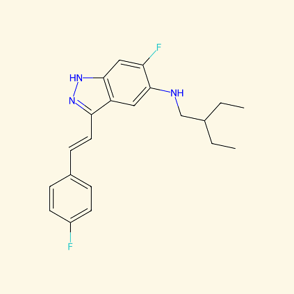 CCC(CC)CNc1cc2c(/C=C/c3ccc(F)cc3)n[nH]c2cc1F